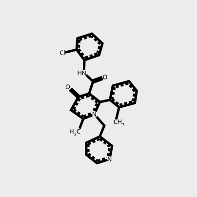 Cc1ccccc1-c1c(C(=O)Nc2ccccc2Cl)c(=O)cc(C)n1Cc1cccnc1